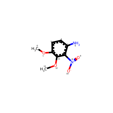 COc1ccc(N)c([N+](=O)[O-])c1OC